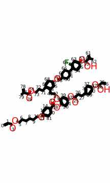 C=CC(=O)OCCCCCCOc1ccc(C(=O)Oc2ccc(OC(=O)CCc3ccc(OC(O)C=C)cc3)cc2OCCc2cc(OCC3CCC(c4ccc(OC(O)C(=C)C)cc4F)CC3)ccc2CCCOC(=O)C(=C)C)cc1